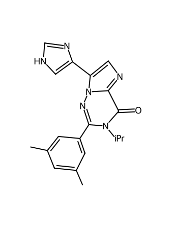 Cc1cc(C)cc(-c2nn3c(-c4c[nH]cn4)cnc3c(=O)n2C(C)C)c1